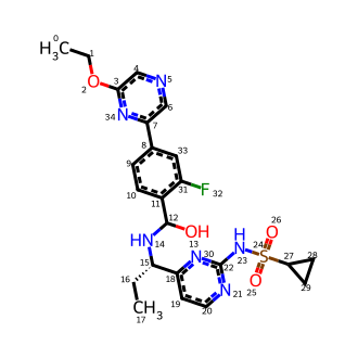 CCOc1cncc(-c2ccc(C(O)N[C@@H](CC)c3ccnc(NS(=O)(=O)C4CC4)n3)c(F)c2)n1